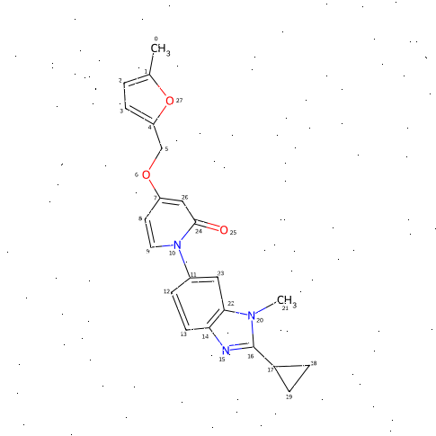 Cc1ccc(COc2ccn(-c3ccc4nc(C5CC5)n(C)c4c3)c(=O)c2)o1